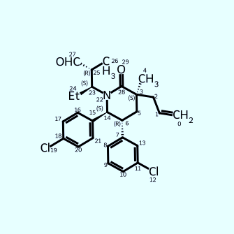 C=CC[C@@]1(C)C[C@H](c2cccc(Cl)c2)[C@@H](c2ccc(Cl)cc2)N([C@@H](CC)[C@@H](C)C=O)C1=O